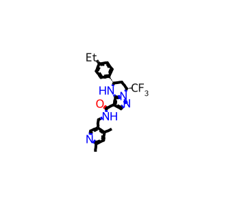 CCc1ccc([C@@H]2C[C@H](C(F)(F)F)n3ncc(C(=O)NCc4cnc(C)cc4C)c3N2)cc1